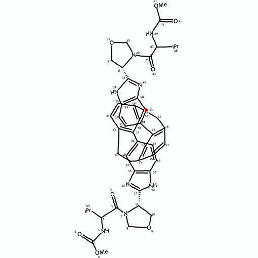 COC(=O)NC(C(=O)N1COC[C@H]1c1nc2cc(-c3cc4ccc3CCc3ccc(c(-c5ccc6[nH]c([C@@H]7COCN7C(=O)C(NC(=O)OC)C(C)C)nc6c5)c3)CC4)ccc2[nH]1)C(C)C